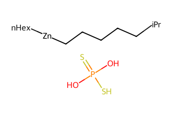 CCCCC[CH2][Zn][CH2]CCCCC(C)C.OP(O)(=S)S